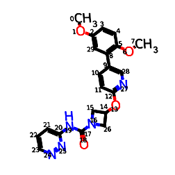 COc1ccc(OC)c(-c2ccc(OC3CN(C(=O)Nc4cccnn4)C3)nc2)c1